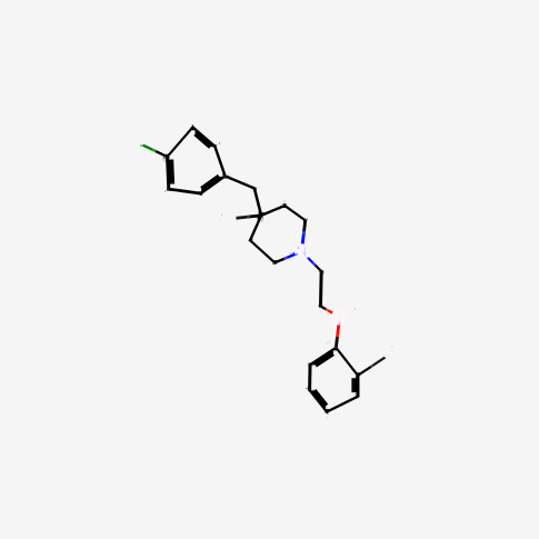 CC(=O)C1(Cc2ccc(Cl)cc2)CCN(CCOc2ccccc2C(F)(F)F)CC1